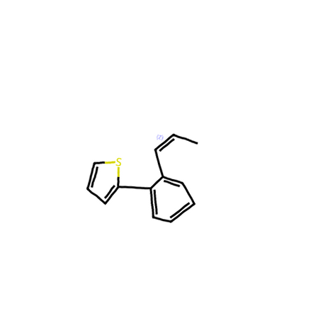 C/C=C\c1ccccc1-c1cccs1